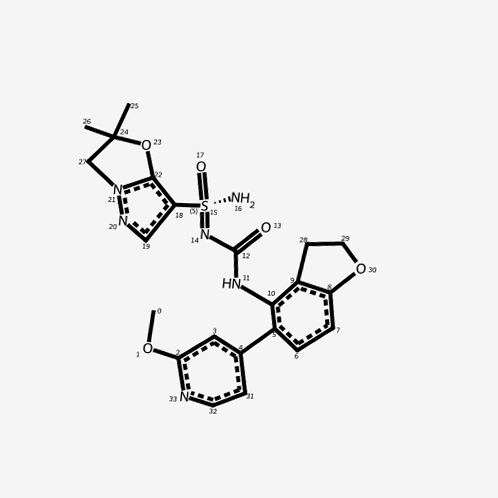 COc1cc(-c2ccc3c(c2NC(=O)N=[S@](N)(=O)c2cnn4c2OC(C)(C)C4)CCO3)ccn1